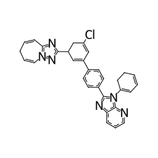 ClC1=CC(c2ccc(-c3nc4cccnc4n3C3=CC=CCC3)cc2)=CC(c2nc3n(n2)C=CCC=C3)C1